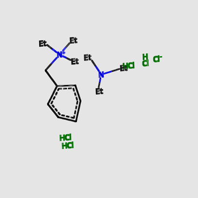 CCN(CC)CC.CC[N+](CC)(CC)Cc1ccccc1.Cl.Cl.Cl.Cl.[Cl-]